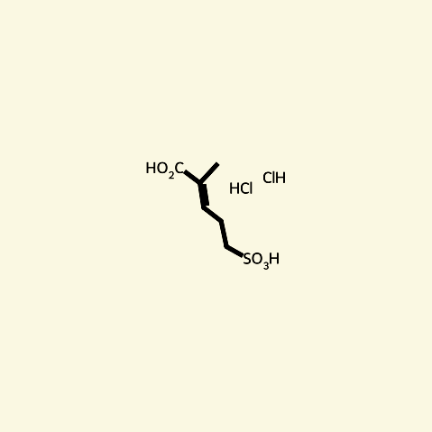 CC(=CCCS(=O)(=O)O)C(=O)O.Cl.Cl